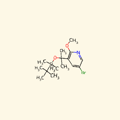 COc1ncc(Br)cc1C(C)(C)O[Si](C)(C)C(C)(C)C